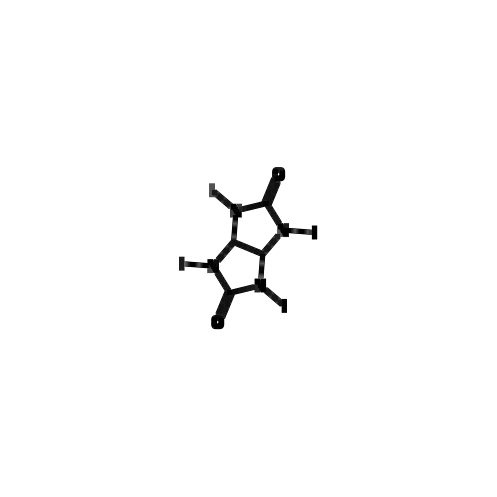 O=C1N(I)C2C(N1I)N(I)C(=O)N2I